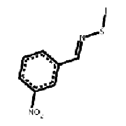 O=[N+]([O-])c1cccc(/C=N/SI)c1